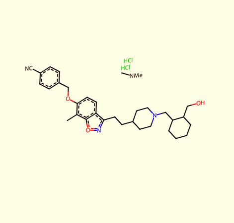 CNC.Cc1c(OCc2ccc(C#N)cc2)ccc2c(CCC3CCN(CC4CCCCC4CO)CC3)noc12.Cl.Cl